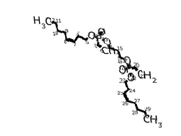 C=CP(=O)(OCC/C=C\CCCC)OCCCOP(=O)(C=C)OCC/C=C\CCCC